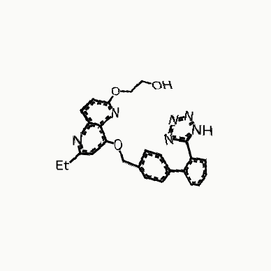 CCc1cc(OCc2ccc(-c3ccccc3-c3nnn[nH]3)cc2)c2nc(OCCO)ccc2n1